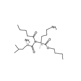 CCCCOC(=O)[C@](C)(CCCN)N(C(=O)CCCC)C(=O)[C@@H](N)CC(C)C